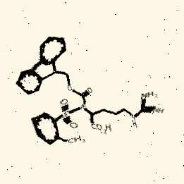 Cc1ccccc1S(=O)(=O)N(C(=O)OCC1c2ccccc2-c2ccccc21)C(CCCNC(=N)N)C(=O)O